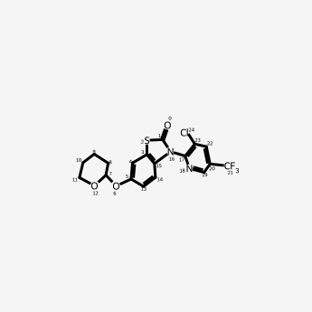 O=c1sc2cc(OC3CCCCO3)ccc2n1-c1ncc(C(F)(F)F)cc1Cl